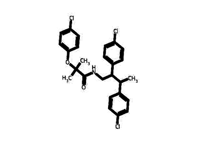 CC(c1ccc(Cl)cc1)C(CNC(=O)C(C)(C)Oc1ccc(Cl)cc1)c1ccc(Cl)cc1